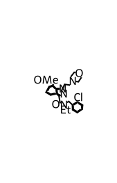 CCN(Cc1ccccc1Cl)C(=O)c1nn(CCN2CCOCC2)c2c(OC)cccc12